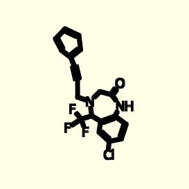 O=C1CN(CC#Cc2ccccc2)C(C(F)(F)F)c2cc(Cl)ccc2N1